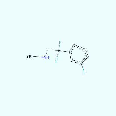 CCCNCC(F)(F)c1cccc(F)c1